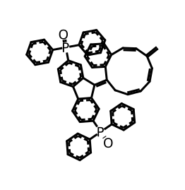 C=C1/C=C\C=C/CC(=C2c3cc(P(=O)(c4ccccc4)c4ccccc4)ccc3-c3ccc(P(=O)(c4ccccc4)c4ccccc4)cc32)c2ccccc2/C=C\1